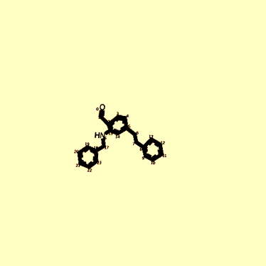 O=Cc1ccc(CCc2ccccc2)cc1NCc1ccccc1